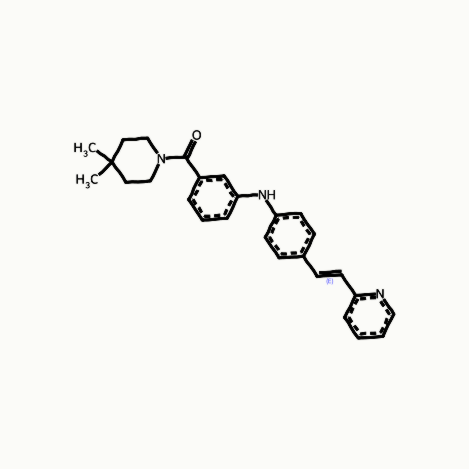 CC1(C)CCN(C(=O)c2cccc(Nc3ccc(/C=C/c4ccccn4)cc3)c2)CC1